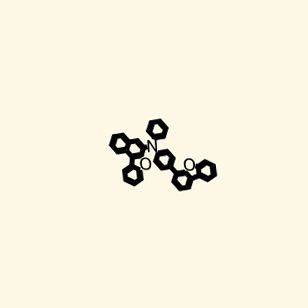 c1ccc(N(c2ccc(-c3cccc4c3oc3ccccc34)cc2)c2cc3ccccc3c3c2oc2ccccc23)cc1